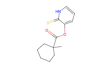 CC1(C(=O)Oc2ccc[nH]c2=S)CCCCC1